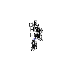 O=C(/C=C/CN1CCC2(CC1)COC(=O)C2)Nc1cc2c(Nc3ccc(F)c(Cl)c3)ncnc2cc1OCC1CC1